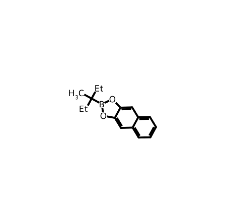 CCC(C)(CC)B1Oc2cc3ccccc3cc2O1